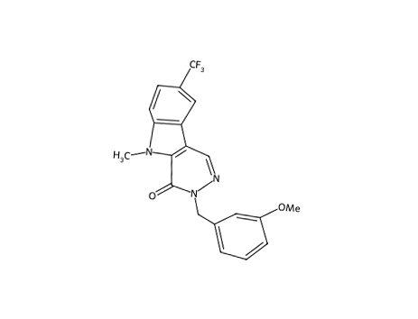 COc1cccc(Cn2ncc3c4cc(C(F)(F)F)ccc4n(C)c3c2=O)c1